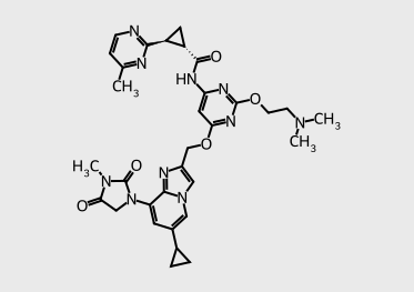 Cc1ccnc([C@H]2C[C@@H]2C(=O)Nc2cc(OCc3cn4cc(C5CC5)cc(N5CC(=O)N(C)C5=O)c4n3)nc(OCCN(C)C)n2)n1